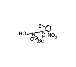 CC(C)(C)OC(=O)N(CCO)CCCNc1c(Br)cccc1[N+](=O)[O-]